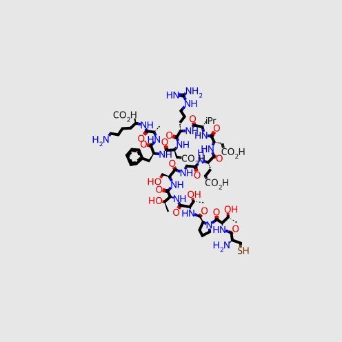 CC(C)[C@H](NC(=O)[C@H](CC(=O)O)NC(=O)[C@H](CCC(=O)O)NC(=O)CNC(=O)[C@H](CO)NC(=O)[C@@H](NC(=O)[C@@H](NC(=O)[C@@H]1CCCN1C(=O)[C@@H](NC(=O)[C@@H](N)CS)[C@@H](C)O)[C@@H](C)O)[C@@H](C)O)C(=O)N[C@@H](CCCNC(=N)N)C(=O)N[C@@H](CC(=O)O)C(=O)N[C@@H](Cc1ccccc1)C(=O)N[C@@H](C)C(=O)N[C@@H](CCCCN)C(=O)O